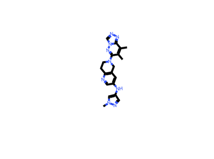 Cc1c(N2CCc3ncc(Nc4cnn(C)c4)cc3C2)nn2cnnc2c1C